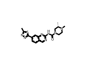 Cc1nnc(-c2ccc3cnc(NC(=O)N4CCN(C)[C@@H](C)C4)nc3c2)s1